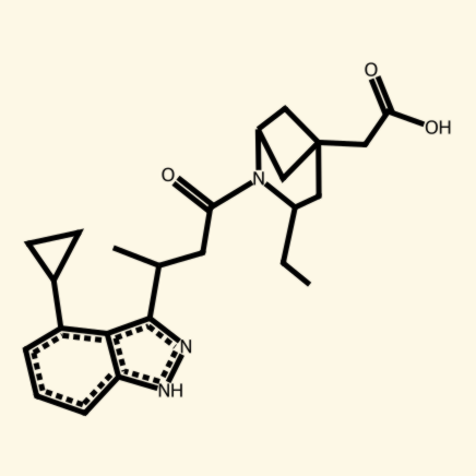 CCC1CC2(CC(=O)O)CC(C2)N1C(=O)CC(C)c1n[nH]c2cccc(C3CC3)c12